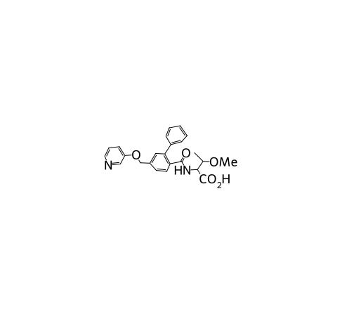 COC(C)C(NC(=O)c1ccc(COc2cccnc2)cc1-c1ccccc1)C(=O)O